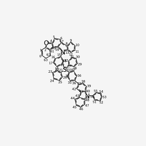 C1=Cc2oc3ccc4c5ccccc5n(-c5cccc([Si](c6ccccc6)(c6ccccc6)c6ccc(-c7ccc8c(c7)c7ccccc7n8-c7ccccc7)cc6)c5)c4c3c2CC1